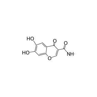 [NH]C(=O)c1coc2cc(O)c(O)cc2c1=O